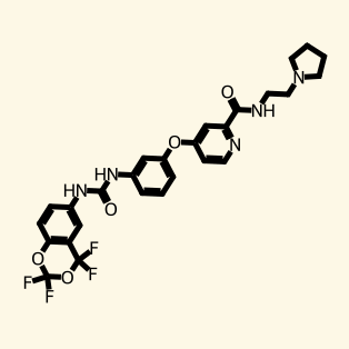 O=C(Nc1cccc(Oc2ccnc(C(=O)NCCN3CCCC3)c2)c1)Nc1ccc2c(c1)C(F)(F)OC(F)(F)O2